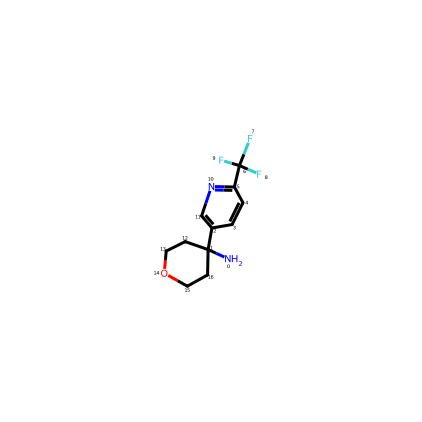 NC1(c2ccc(C(F)(F)F)nc2)CCOCC1